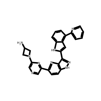 NC1CN(c2cncc(-c3ccc4[nH]nc(-c5cc6c(-c7ccccn7)cccc6[nH]5)c4n3)n2)C1